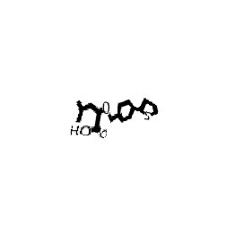 CC(C)CC(OCc1ccc(-c2cccs2)cc1)C(=O)O